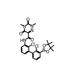 Cn1nc(C(=O)Nc2cccc(-c3cccc(B4OC(C)(C)C(C)(C)O4)c3Cl)c2Cl)c(=O)n(C)c1=O